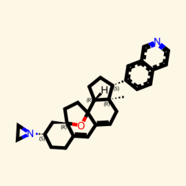 C[C@]12CC=C3C=C4CC[C@H](N5CC5)C[C@]45CCC3(O5)[C@@H]1CC[C@@H]2c1ccc2ccncc2c1